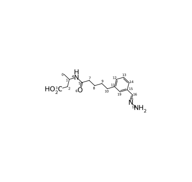 CC(CC(=O)O)NC(=O)CCCCc1cccc(C=NN)c1